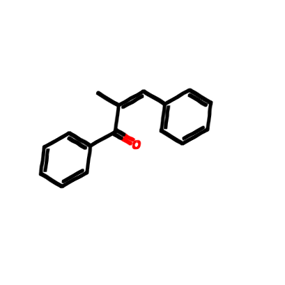 C/C(=C/c1ccccc1)C(=O)c1ccccc1